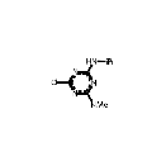 CNc1nc(Cl)nc(NC(C)C)n1